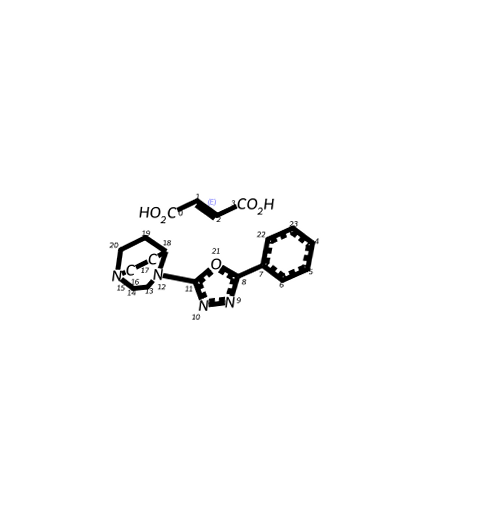 O=C(O)/C=C/C(=O)O.c1ccc(-c2nnc(N3CCN4CCC3CC4)o2)cc1